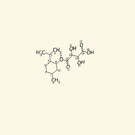 CC1CCC(C(C)C)C(OC(=O)C(O)C(O)C(=O)O)C1